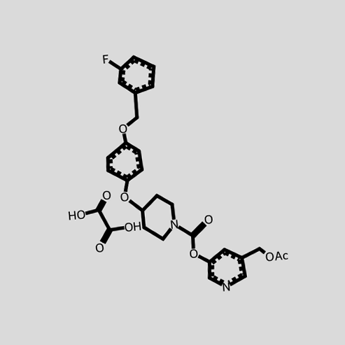 CC(=O)OCc1cncc(OC(=O)N2CCC(Oc3ccc(OCc4cccc(F)c4)cc3)CC2)c1.O=C(O)C(=O)O